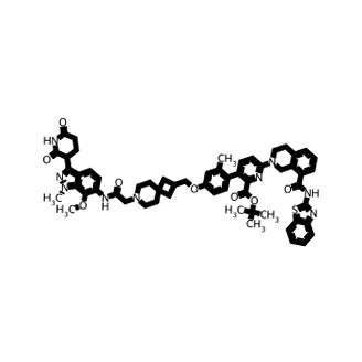 COc1c(NC(=O)CN2CCC3(CC2)CC(COc2ccc(-c4ccc(N5CCc6cccc(C(=O)Nc7nc8ccccc8s7)c6C5)nc4C(=O)OC(C)(C)C)c(C)c2)C3)ccc2c(C3CCC(=O)NC3=O)nn(C)c12